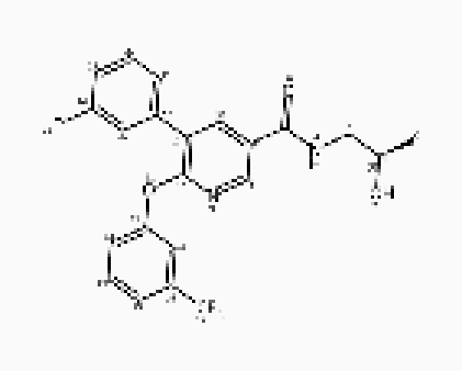 C[C@@H](O)CNC(=O)c1cnc(Oc2cccc(C(F)(F)F)c2)c(-c2cccc(F)c2)c1